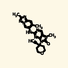 C#CC1(n2c(=O)n(C)c3cnc(Nc4cn5nc(C)nc5cc4C)nc32)CCOCC1